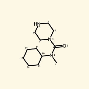 CN(C(=O)N1CCNCC1)C1CCCCC1